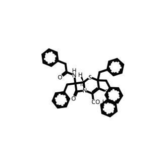 O=C(Cc1ccccc1)NC1(Cc2ccccc2)C(=O)N2C(C(=O)O)=C(Sc3ccccc3)C(Cc3ccccc3)(Cc3ccccc3)S[C@H]21